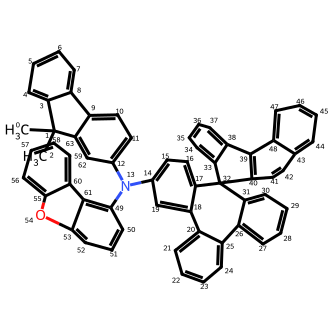 CC1(C)c2ccccc2-c2ccc(N(c3ccc4c(c3)-c3ccccc3-c3ccccc3C43c4ccccc4-c4c3ccc3ccccc43)c3cccc4oc5ccccc5c34)cc21